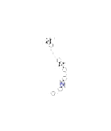 Cc1ccc(Cc2ccc(/N=N/c3ccc(Cc4ccc(N5C(=O)c6ccc(CCCCCc7ccc8c(c7)C(=O)N(C)C8=O)cc6C5=O)cc4)cc3)cc2)cc1